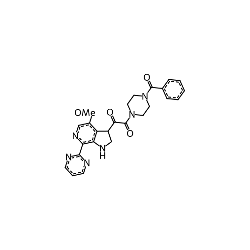 COc1cnc(-c2ncccn2)c2c1C(C(=O)C(=O)N1CCN(C(=O)c3ccccc3)CC1)CN2